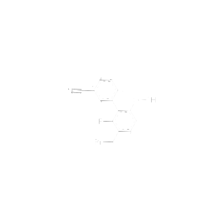 COc1ccc(CBr)c(F)c1-c1cccc(C#N)c1